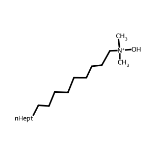 CCCCCCCCCCCCCCCC[N+](C)(C)O